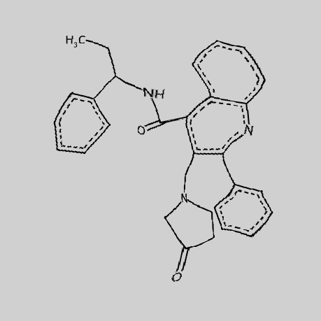 CCC(NC(=O)c1c(CN2CCC(=O)C2)c(-c2ccccc2)nc2ccccc12)c1ccccc1